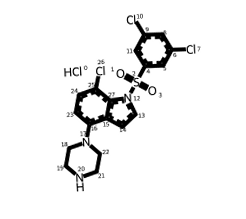 Cl.O=S(=O)(c1cc(Cl)cc(Cl)c1)n1ccc2c(N3CCNCC3)ccc(Cl)c21